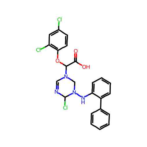 O=C(O)C(Oc1ccc(Cl)cc1Cl)N1C=NC(Cl)N(Nc2ccccc2-c2ccccc2)C1